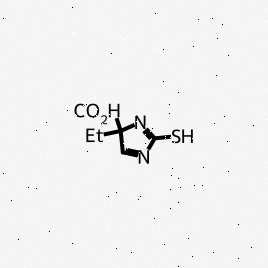 CCC1(C(=O)O)C=NC(S)=N1